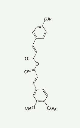 COc1cc(/C=C/C(=O)OC(=O)/C=C/c2ccc(OC(C)=O)cc2)ccc1OC(C)=O